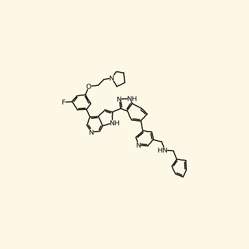 Fc1cc(OCCN2CCCC2)cc(-c2cncc3[nH]c(-c4n[nH]c5ccc(-c6cncc(CNCc7ccccc7)c6)cc45)cc23)c1